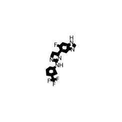 Fc1cc2[nH]cnc2cc1-c1ccnc(Nc2cccc(C(F)(F)F)c2)n1